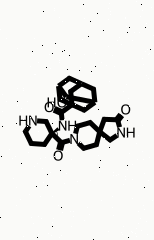 O=C1CC2(CCN(C(=O)[C@]3(NC(=O)C45CC6CC(C4)C(O)C(C6)C5)CCCNC3)CC2)CN1